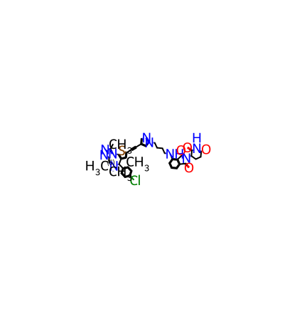 Cc1c(C#Cc2cnn(CCCCNc3cccc4c3C(=O)N(C3CCC(=O)NC3=O)C4=O)c2)sc2c1C(c1ccc(Cl)cc1)N(C)[C@@H](C)c1nnc(C)n1-2